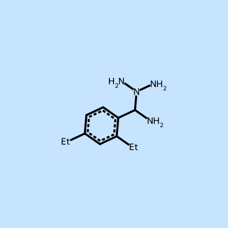 CCc1ccc(C(N)N(N)N)c(CC)c1